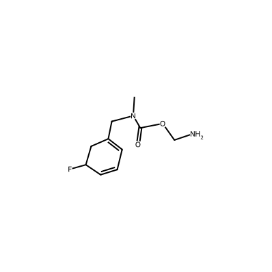 CN(CC1=CC=CC(F)C1)C(=O)OCN